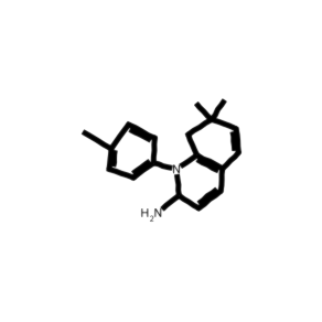 Cc1ccc(N2C3=C(C=CC2N)C=CC(C)(C)C3)cc1